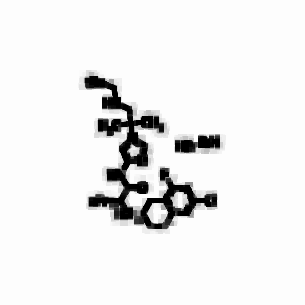 Br.Br.CCC[C@H](N[C@H]1CCc2cc(Cl)cc(F)c2C1)C(=O)Nc1cn(C(C)(C)CNCC(C)(C)C)cn1